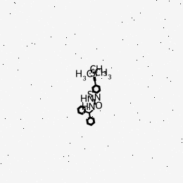 C[Si](C)(C)C#Cc1ccc2c(c1)SNC(C(=O)NCC(c1ccccc1)c1ccccc1)=N2